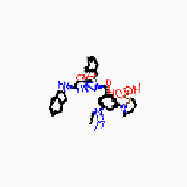 CCNc1cc(C(=O)N[C@@H](Cc2ccccc2)[C@@H](O)CNC2Cc3ccccc3C2)cc(N2CCCCS2(O)O)c1